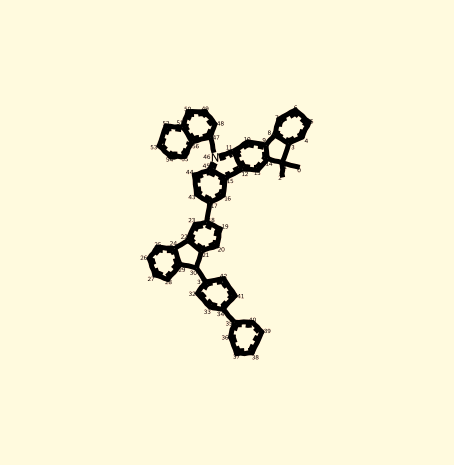 CC1(C)c2ccccc2-c2cc3c(cc21)c1cc(-c2ccc4c(c2)-c2ccccc2C4c2ccc(-c4ccccc4)cc2)ccc1n3-c1cccc2ccccc12